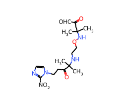 CC(C)(NOCCNC(C)(C)C(=O)CCn1ccnc1[N+](=O)[O-])C(=O)C=O